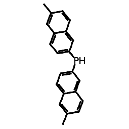 Cc1ccc2cc(Pc3ccc4cc(C)ccc4c3)ccc2c1